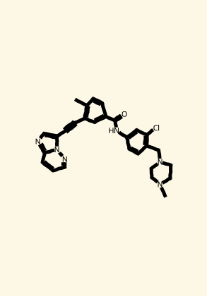 Cc1ccc(C(=O)Nc2ccc(CN3CCN(C)CC3)c(Cl)c2)cc1C#Cc1cnc2cccnn12